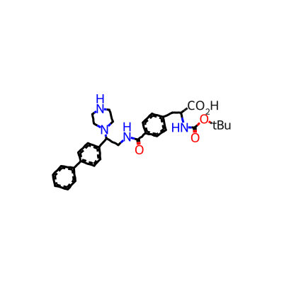 CC(C)(C)OC(=O)NC(Cc1ccc(C(=O)NCC(c2ccc(-c3ccccc3)cc2)N2CCNCC2)cc1)C(=O)O